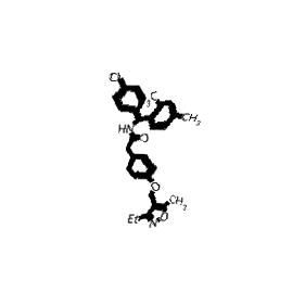 CCc1noc(C)c1COc1ccc(CC(=O)NC(c2ccc(Cl)cc2)c2ccc(C)cc2C)cc1